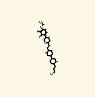 C=CCCC1CCC(C2CCC(CCC3CCC(c4ccc(OCC)c(F)c4F)CO3)CC2)CC1